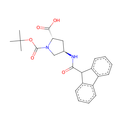 CC(C)(C)OC(=O)N1C[C@H](NC(=O)C2c3ccccc3-c3ccccc32)C[C@H]1C(=O)O